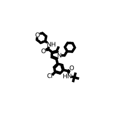 Cc1c(C(=O)NC2CCOCC2)cc(-c2cc(Cl)cc(C(=O)NC(C)(C)C)c2)n1CC1CCCCC1